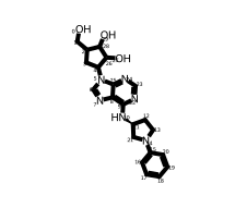 OCC1CC(n2cnc3c(N[C@H]4CCN(c5ccccc5)C4)ncnc32)C(O)C1O